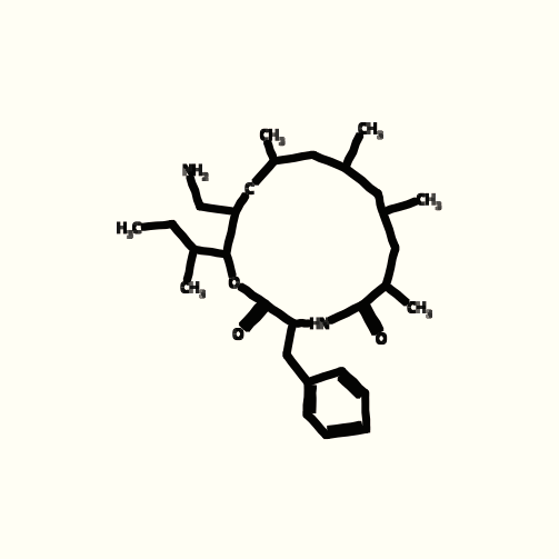 CCC(C)C1OC(=O)C(Cc2ccccc2)NC(=O)C(C)CC(C)CC(C)CC(C)CC1CN